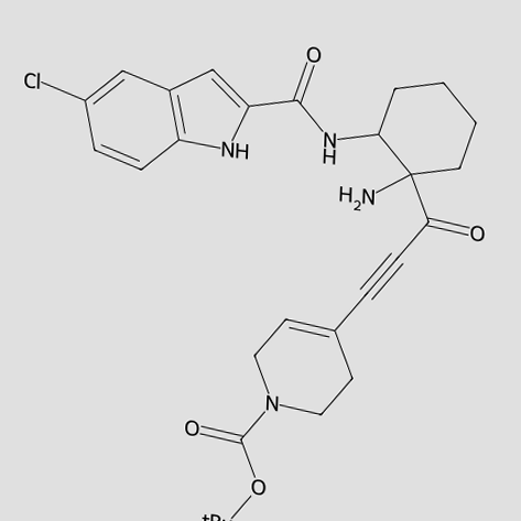 CC(C)(C)OC(=O)N1CC=C(C#CC(=O)C2(N)CCCCC2NC(=O)c2cc3cc(Cl)ccc3[nH]2)CC1